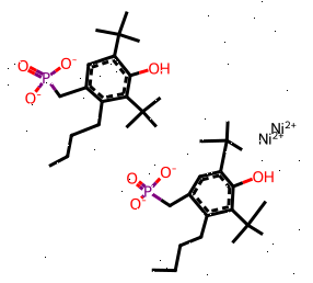 CCCCc1c(CP(=O)([O-])[O-])cc(C(C)(C)C)c(O)c1C(C)(C)C.CCCCc1c(CP(=O)([O-])[O-])cc(C(C)(C)C)c(O)c1C(C)(C)C.[Ni+2].[Ni+2]